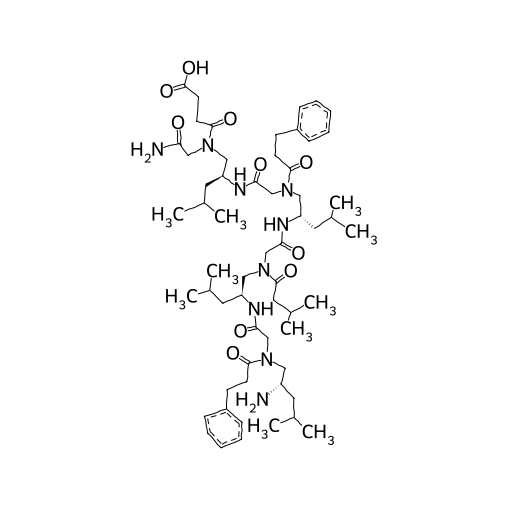 CC(C)CC(=O)N(CC(=O)N[C@@H](CC(C)C)CN(CC(=O)N[C@@H](CC(C)C)CN(CC(N)=O)C(=O)CCC(=O)O)C(=O)CCc1ccccc1)C[C@H](CC(C)C)NC(=O)CN(C[C@@H](N)CC(C)C)C(=O)CCc1ccccc1